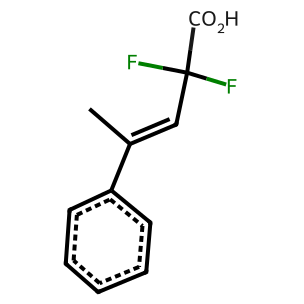 C/C(=C\C(F)(F)C(=O)O)c1ccccc1